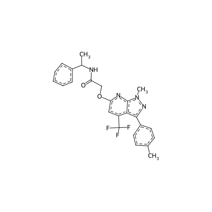 Cc1ccc(-c2nn(C)c3nc(OCC(=O)NC(C)c4ccccc4)cc(C(F)(F)F)c23)cc1